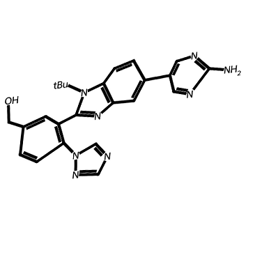 CC(C)(C)n1c(-c2cc(CO)ccc2-n2cncn2)nc2cc(-c3cnc(N)nc3)ccc21